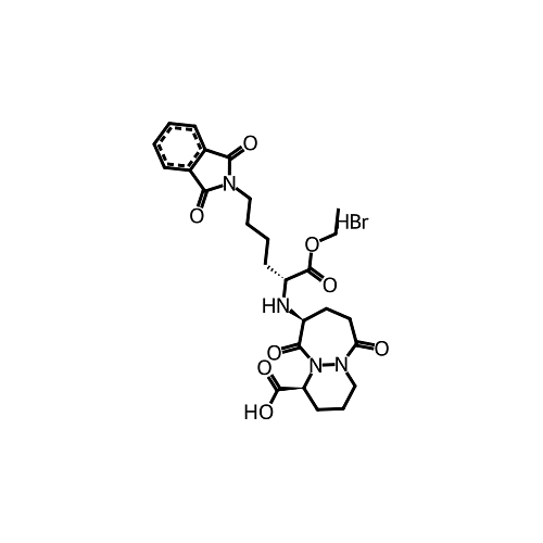 Br.CCOC(=O)[C@@H](CCCCN1C(=O)c2ccccc2C1=O)N[C@H]1CCC(=O)N2CCC[C@@H](C(=O)O)N2C1=O